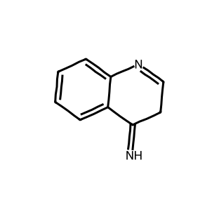 N=C1CC=Nc2ccccc21